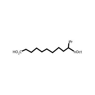 CCCCCCCCC(CCCCCCCCC(=O)O)C(C)C